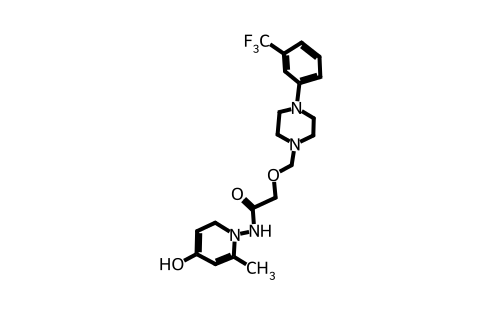 CC1=CC(O)=CCN1NC(=O)COCN1CCN(c2cccc(C(F)(F)F)c2)CC1